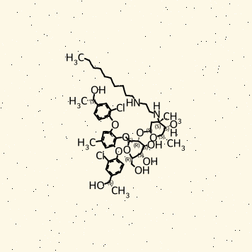 CCCCCCCCCCNCCN[C@@]1(C)C[C@H](O[C@H]2[C@H](Oc3c(Oc4ccc([C@H](C)O)cc4Cl)cc(C)cc3Oc3ccc([C@H](C)O)cc3Cl)O[C@H](CO)[C@@H](O)[C@@H]2O)O[C@@H](C)[C@H]1O